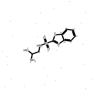 NC(O)CNS(=O)(=O)c1nc2ccccc2s1